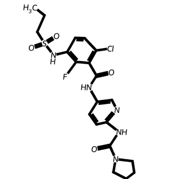 CCCS(=O)(=O)Nc1ccc(Cl)c(C(=O)Nc2ccc(NC(=O)N3CCCC3)nc2)c1F